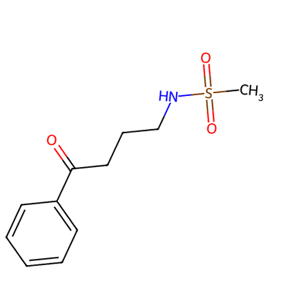 CS(=O)(=O)NCCCC(=O)c1ccccc1